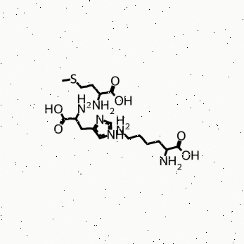 CSCCC(N)C(=O)O.NC(Cc1c[nH]cn1)C(=O)O.NCCCCC(N)C(=O)O